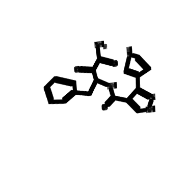 NC(=O)C(=O)C(Cc1ccccc1)NC(=O)c1c[nH]nc1-c1cc[nH]c1